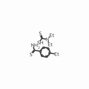 CCN(CC)C(=S)S.CCc1ccc(C(N)=S)cc1